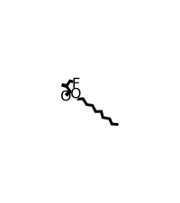 C=C(CF)C(=O)OCCCCCCCCCC